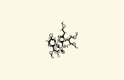 COCCc1nnc(NS(=O)(=O)[C@@H](C)[C@H](OC)c2ncc(Cl)cn2)n1C(COC)COC